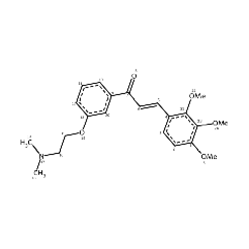 COc1ccc(/C=C/C(=O)c2cccc(OCCN(C)C)c2)c(OC)c1OC